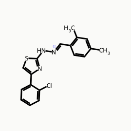 Cc1ccc(/C=N/Nc2nc(-c3ccccc3Cl)cs2)c(C)c1